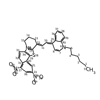 CCCCCCN1C=CC(=C/C=C2\CCC[n+]3c2sc2c4cc([N+](=O)[O-])cc([N+](=O)[O-])c4ccc23)c2ccccc21